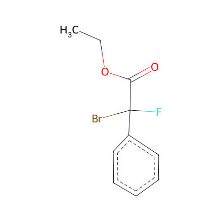 CCOC(=O)C(F)(Br)c1ccccc1